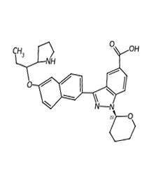 CCC(Oc1ccc2cc(-c3nn([C@@H]4CCCCO4)c4ccc(C(=O)O)cc34)ccc2c1)C1CCCN1